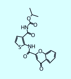 CC(C)OC(=O)NC(=O)c1ccsc1NC(=O)c1cc(=O)c2ccccc2o1